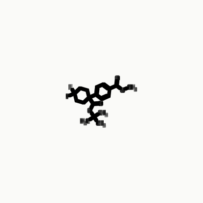 COC(=O)c1ccc(C2(C(=O)OC(C)(C)C)CCC(F)(F)CC2)cc1